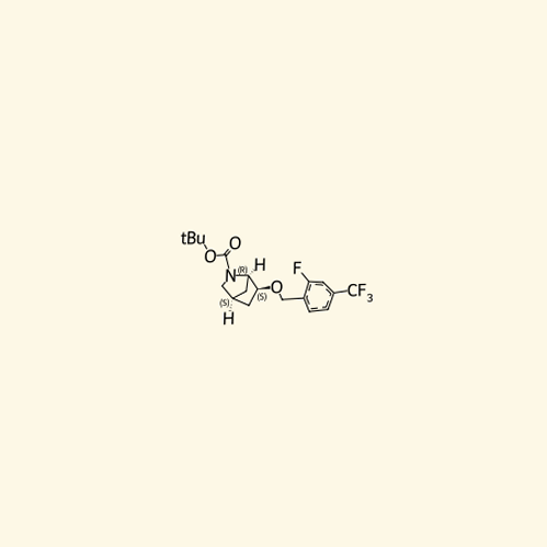 CC(C)(C)OC(=O)N1C[C@@H]2C[C@H](OCc3ccc(C(F)(F)F)cc3F)[C@H]1C2